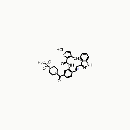 Cc1ccsc1C(=O)Nc1cc(C(=O)N2CCN(S(C)(=O)=O)CC2)ccc1/C=C/c1n[nH]c2ccccc12.Cl